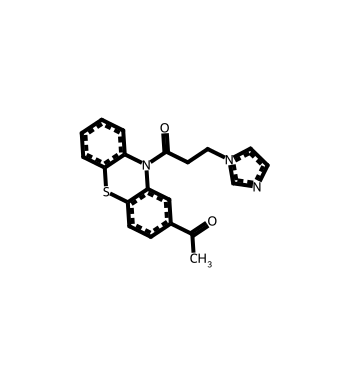 CC(=O)c1ccc2c(c1)N(C(=O)CCn1ccnc1)c1ccccc1S2